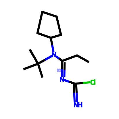 CC/C(=N\C(=N)Cl)N(C1CCCC1)C(C)(C)C